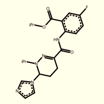 CC(C)OC(=O)c1cc(F)ccc1NC(=O)C1=NN(C(C)C)C(n2ccnc2)CC1